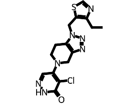 CCc1ncsc1Cn1nnc2c1CCN(c1cn[nH]c(=O)c1Cl)C2